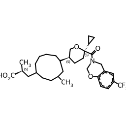 CC1CCC(C[C@H](C)C(=O)O)CCCCC([C@@H]2CC[C@@](C(=O)N3COc4ccc(C(F)(F)F)cc4C3)(C3CC3)OC2)C1